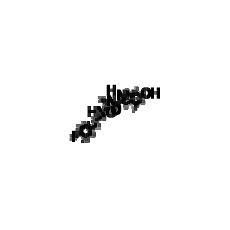 Cc1cc(O)cc(C)c1C[C@@H](N)C(=O)N[C@H](C)C(=O)NCCCc1ccc(F)cc1